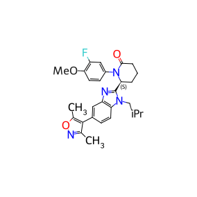 COc1ccc(N2C(=O)CCC[C@H]2c2nc3cc(-c4c(C)noc4C)ccc3n2CC(C)C)cc1F